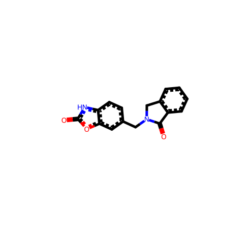 O=C1c2ccccc2CN1Cc1ccc2[nH]c(=O)oc2c1